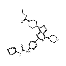 CCOC(=O)N1CCC(n2ncc3c(N4CCOCC4)nc(-c4ccc(NC(=O)Nc5ccccc5)cc4)nc32)CC1